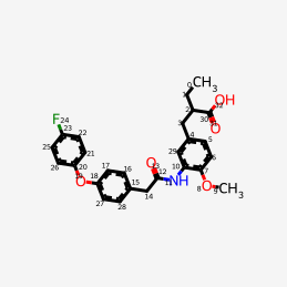 CCC(Cc1ccc(OC)c(NC(=O)Cc2ccc(Oc3ccc(F)cc3)cc2)c1)C(=O)O